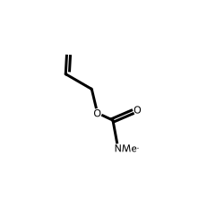 C=CCOC(=O)[N]C